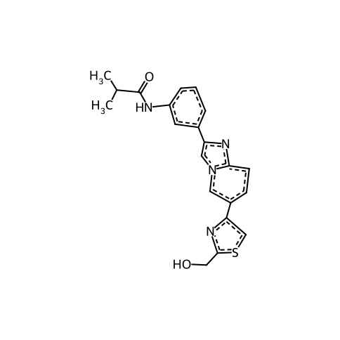 CC(C)C(=O)Nc1cccc(-c2cn3cc(-c4csc(CO)n4)ccc3n2)c1